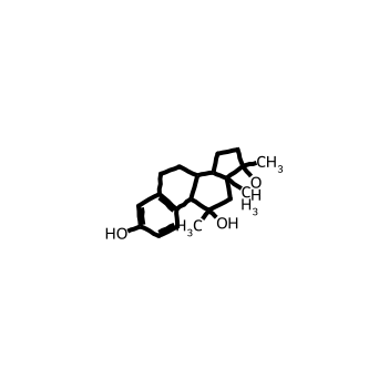 CC1(O)CC2(C)C(CCC2(C)O)C2CCc3cc(O)ccc3C21